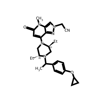 CC[C@H]1CN(C(C)c2ccc(OC3CC3)cc2)[C@H](CC)CN1c1cc(=O)n(C)c2cn(CC#N)nc12